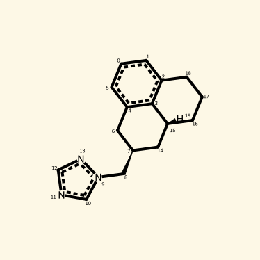 c1cc2c3c(c1)C[C@H](Cn1cncn1)C[C@H]3CCC2